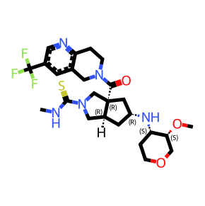 CNC(=S)N1C[C@@H]2C[C@@H](N[C@H]3CCOC[C@H]3OC)C[C@]2(C(=O)N2CCc3ncc(C(F)(F)F)cc3C2)C1